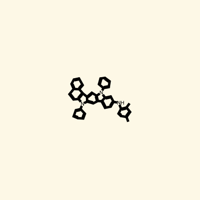 Cc1ccc(Nc2ccc3c4cc5c(cc4n(-c4ccccc4)c3c2)c2c3ccccc3ccc2n5-c2ccccc2)c(C)c1